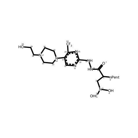 CCCCCC(CN(O)C=O)C(=O)NNc1ncc(N2CCN(CCO)CC2)c(C(F)(F)F)n1